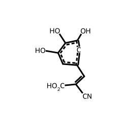 N#CC(=Cc1cc(O)c(O)c(O)c1)C(=O)O